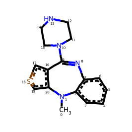 CN1c2ccccc2N=C(N2CCNCC2)c2cscc21